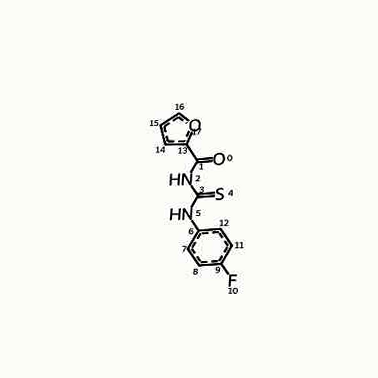 O=C(NC(=S)Nc1ccc(F)cc1)c1ccco1